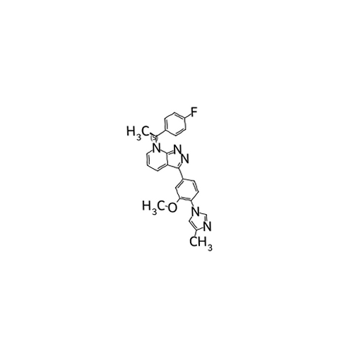 COc1cc(-c2nnc3n([C@@H](C)c4ccc(F)cc4)cccc2-3)ccc1-n1cnc(C)c1